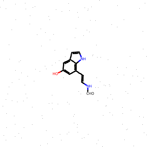 O=CNC=Cc1cc(O)cc2cc[nH]c12